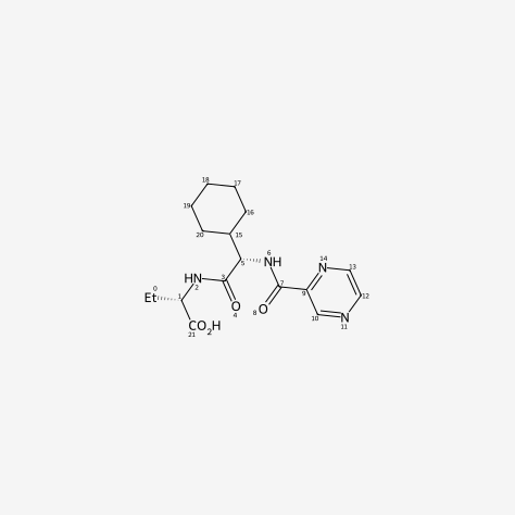 CC[C@H](NC(=O)[C@@H](NC(=O)c1cnccn1)C1CCCCC1)C(=O)O